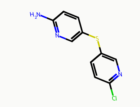 Nc1ccc(Sc2ccc(Cl)nc2)cn1